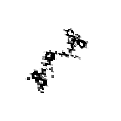 CN(CCCOc1cccc(CCNC[C@H](O)c2ccc(O)c3[nH]c(=O)ccc23)c1)CCc1cnc([C@](O)(c2ccccc2)C2CCCCC2)o1